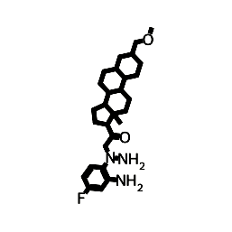 COCC1CCC2C(CCC3C2CCC2(C)C(C(=O)CN(N)c4ccc(F)cc4N)CCC32)C1